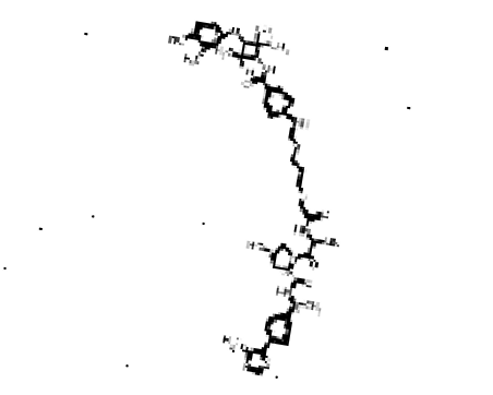 Cc1ncsc1-c1ccc([C@H](C)NC(=O)[C@@H]2C[C@@H](O)CN2C(=O)C(NC(=O)COCCCCCNc2ccc(C(=O)N[C@H]3C(C)(C)[C@H](Oc4ccc(C#N)c(C(F)(F)F)c4)C3(C)C)cc2)C(C)(C)C)cc1